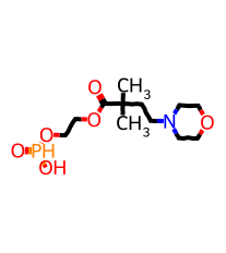 CC(C)(CCN1CCOCC1)C(=O)OCCO[PH](=O)O